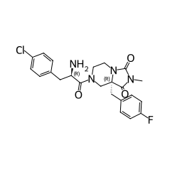 CN1C(=O)N2CCN(C(=O)[C@H](N)Cc3ccc(Cl)cc3)C[C@]2(Cc2ccc(F)cc2)C1=O